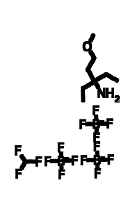 CCC(N)(CC)CCOC.FC(F)F.F[B-](F)(F)F.F[B-](F)(F)F.F[B-](F)(F)F